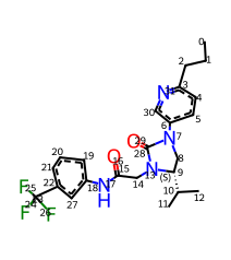 CCCc1ccc(N2C[C@H](C(C)C)N(CC(=O)Nc3cccc(C(F)(F)F)c3)C2=O)cn1